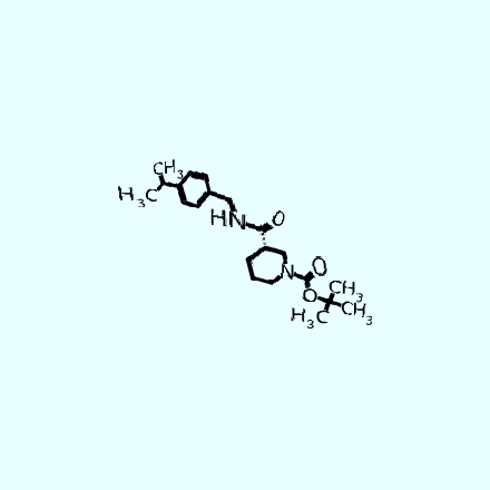 CC(C)c1ccc(CNC(=O)[C@H]2CCCN(C(=O)OC(C)(C)C)C2)cc1